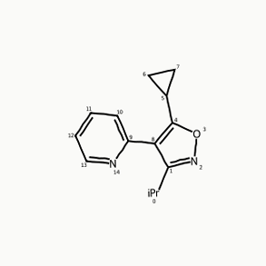 CC(C)c1noc(C2CC2)c1-c1ccccn1